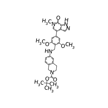 COc1cc(-c2cn(C)c(=O)c3[nH]ncc23)cc(OC)c1CNc1ccc2c(c1)CCN(C(=O)OC(C)(C)C)C2